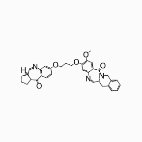 COc1cc2c(cc1OCCCOc1ccc3c(c1)N=C[C@@H]1CCCC1C3=O)N=CC1Cc3ccccc3CN1C2=O